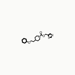 O=C(OCc1cncs1)N1CCC(CCOc2ccccc2)CC1